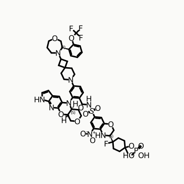 CC1(OP(=O)(O)O)CCC(F)([C@@H]2COc3cc(S(=O)(=O)NC(=O)c4ccc(N5CCC6(CC5)CC(N5CCCOC[C@H]5c5ccccc5OC(F)(F)F)C6)cc4N4c5cc6cc[nH]c6nc5O[C@H]5COCC[C@@H]54)cc([N+](=O)[O-])c3N2)CC1